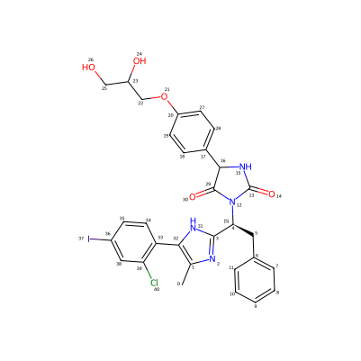 Cc1nc([C@H](Cc2ccccc2)N2C(=O)NC(c3ccc(OCC(O)CO)cc3)C2=O)[nH]c1-c1ccc(I)cc1Cl